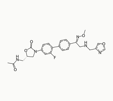 CON=C(CNCc1cocn1)c1ccc(-c2ccc(N3C[C@H](CNC(C)=O)OC3=O)cc2F)cc1